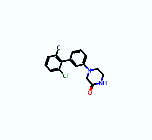 O=C1CN(c2c[c]cc(-c3c(Cl)cccc3Cl)c2)CCN1